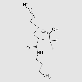 O=C(O)C(F)(F)F.[N-]=[N+]=NCCCCC(=O)NCCCN